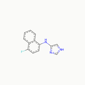 Fc1ccc(Nc2c[nH]cn2)c2ccccc12